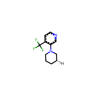 [2H][C@@H]1CCCN(c2cnccc2C(F)(F)F)C1